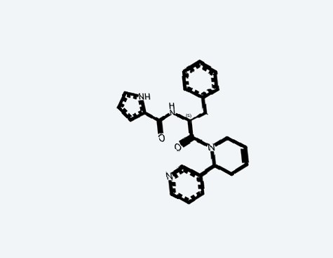 O=C(N[C@@H](Cc1ccccc1)C(=O)N1CC=CCC1c1cccnc1)c1ccc[nH]1